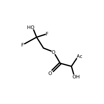 CC(=O)C(O)C(=O)OCC(O)(F)F